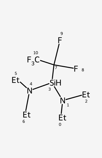 CCN(CC)[SiH](N(CC)CC)C(F)(F)C(F)(F)F